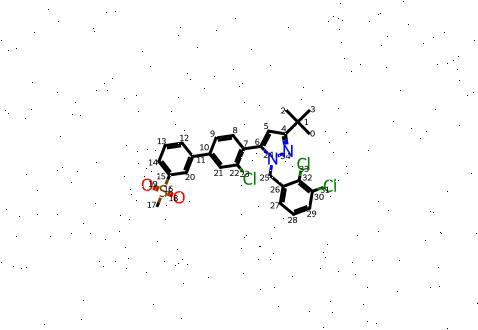 CC(C)(C)c1cc(-c2ccc(-c3cccc(S(C)(=O)=O)c3)cc2Cl)n(Cc2cccc(Cl)c2Cl)n1